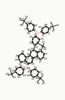 CC(C)(C)c1ccc(B(c2ccc(C(C)(C)C)cc2)c2ccc3c(c2)C(C)(C)c2cccc4c2c-3cc2c3ccccc3c(B(c3ccc(C(C)(C)C)cc3)c3ccc(C(C)(C)C)cc3)cc42)cc1